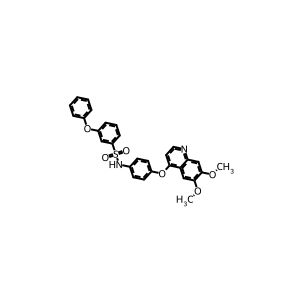 COc1cc2nccc(Oc3ccc(NS(=O)(=O)c4cccc(Oc5ccccc5)c4)cc3)c2cc1OC